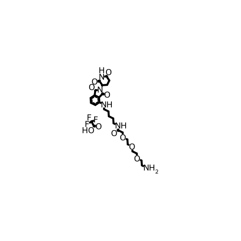 NCCOCCOCCOCC(=O)NCCCCCNc1cccc2c1C(=O)N(C1CCC(=O)NC1=O)C2=O.O=C(O)C(F)(F)F